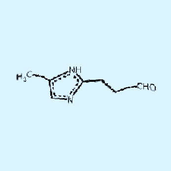 Cc1cnc(CCC=O)[nH]1